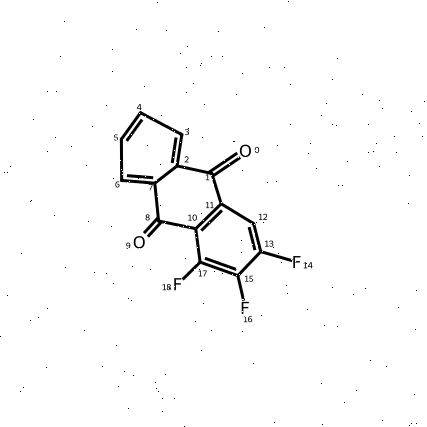 O=C1c2ccccc2C(=O)c2c1cc(F)c(F)c2F